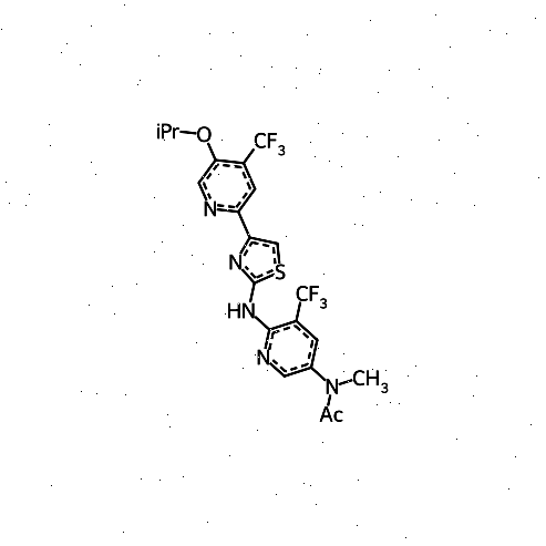 CC(=O)N(C)c1cnc(Nc2nc(-c3cc(C(F)(F)F)c(OC(C)C)cn3)cs2)c(C(F)(F)F)c1